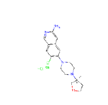 C[C@]1(N2CCN(c3cc4cc(N)ncc4cc3Cl)CC2)CCOC1.Cl.Cl